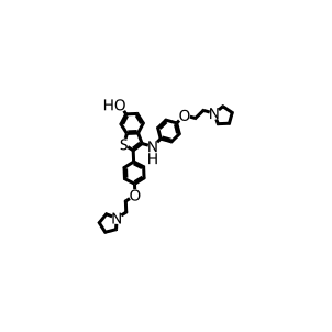 Oc1ccc2c(Nc3ccc(OCCN4CCCC4)cc3)c(-c3ccc(OCCN4CCCC4)cc3)sc2c1